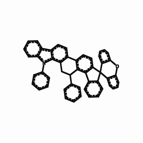 c1ccc(C2Cc3c(ccc4c5ccccc5n(-c5ccccc5)c34)-c3ccc4c(c32)-c2ccccc2C42c3ccccc3Oc3ccccc32)cc1